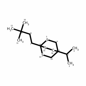 CC(C)C12CSC(CCC(C)(C)C)(SC1)SC2